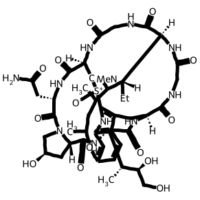 CC[C@@H]1C(NC)C(C)CC(C)Oc2ccc3c4c([nH]c3c2)[S+]([O-])C[C@@H]2NC(=O)CNC(=O)[C@H]1NC(=O)CNC(=O)[C@H](C4)NC(=O)[C@H]([C@@H](C)[C@@H](O)CO)NC(=O)[C@@H]1C[C@@H](O)CN1C(=O)[C@H](CC(N)=O)NC2=O